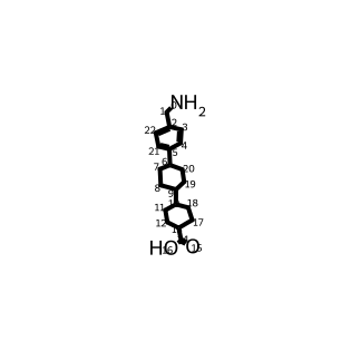 NCc1ccc(C2CCC(C3CCC(C(=O)O)CC3)CC2)cc1